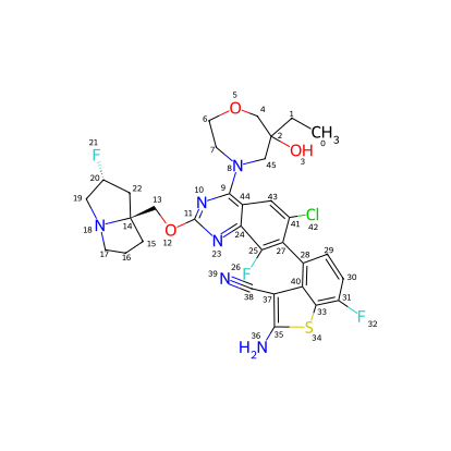 CCC1(O)COCCN(c2nc(OC[C@@]34CCCN3C[C@H](F)C4)nc3c(F)c(-c4ccc(F)c5sc(N)c(C#N)c45)c(Cl)cc23)C1